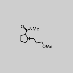 CNC(=O)C1CCCN1CCCOC